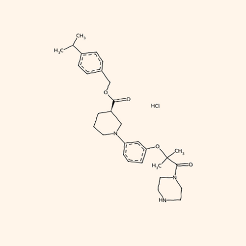 CC(C)c1ccc(COC(=O)[C@@H]2CCCN(c3cccc(OC(C)(C)C(=O)N4CCNCC4)c3)C2)cc1.Cl